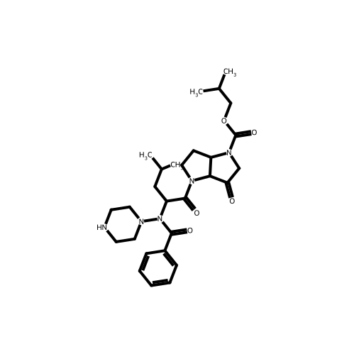 CC(C)COC(=O)N1CC(=O)C2C1CCN2C(=O)C(CC(C)C)N(C(=O)c1ccccc1)N1CCNCC1